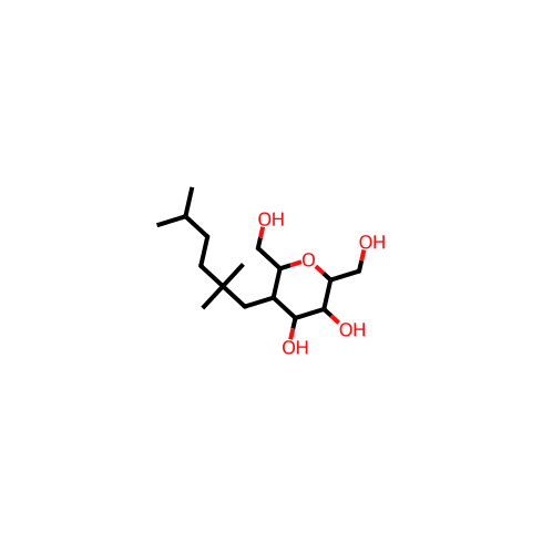 CC(C)CCC(C)(C)CC1C(CO)OC(CO)C(O)C1O